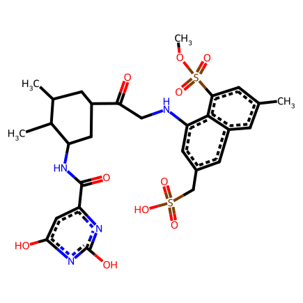 COS(=O)(=O)c1cc(C)cc2cc(CS(=O)(=O)O)cc(NCC(=O)C3CC(C)C(C)C(NC(=O)c4cc(O)nc(O)n4)C3)c12